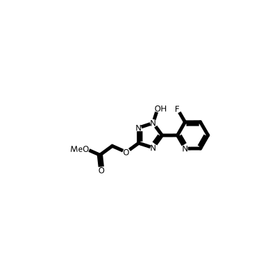 COC(=O)COc1nc(-c2ncccc2F)n(O)n1